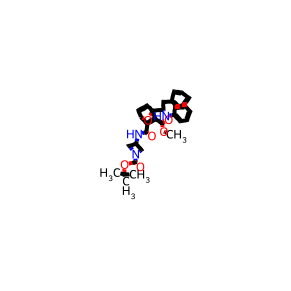 COC(=O)C1=C(C(=O)NC2CN(C(=O)OC(C)(C)C)C2)C2C=CC1(C(Cc1ccccc1)Nc1ccccc1)O2